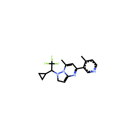 CC1=CC(c2cnccc2C)=NC2=CCN(C(C3CC3)C(F)(F)F)N12